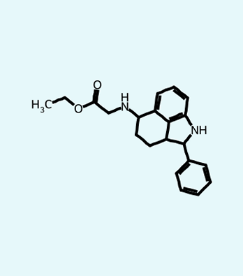 CCOC(=O)CNC1CCC2c3c(cccc31)NC2c1ccccc1